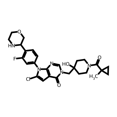 CC1(C(=O)N2CCC(O)(Cn3cnc4c(cc(Cl)n4-c4ccc(C5COCCN5)c(F)c4)c3=O)CC2)CC1